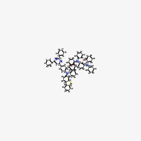 c1ccc(-c2cc(-c3ccc(-n4c5ccccc5c5c6sc7ccccc7c6ccc54)c(-c4ccc(-c5ccc6c7c5N(c5ccccc5)c5ccccc5B7c5ccccc5N6c5ccccc5)cc4)c3)nc(-c3ccccc3)n2)cc1